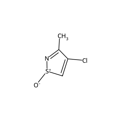 Cc1n[s+]([O-])cc1Cl